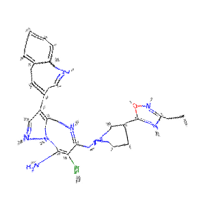 Cc1noc(C2CCN(c3nc4c(-c5cnc6ccccc6c5)cnn4c(N)c3Br)C2)n1